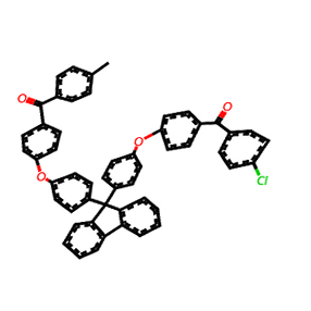 Cc1ccc(C(=O)c2ccc(Oc3ccc(C4(c5ccc(Oc6ccc(C(=O)c7ccc(Cl)cc7)cc6)cc5)c5ccccc5-c5ccccc54)cc3)cc2)cc1